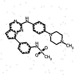 CN1CCN(c2ccc(Nc3ncc4ccc(-c5cccc(NS(C)(=O)=O)c5)n4n3)cc2)CC1